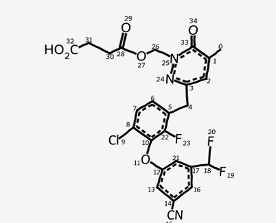 Cc1cc(Cc2ccc(Cl)c(Oc3cc(C#N)cc(C(F)F)c3)c2F)nn(COC(=O)CCC(=O)O)c1=O